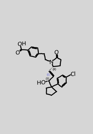 O=C(O)c1ccc(CCN2C(=O)CC[C@@H]2/C=C/[C@H](O)C2(c3ccc(Cl)cc3)CCCC2)cc1